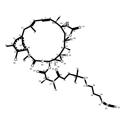 C/C1=C\C=C\[C@@H](C)[C@@]2(O)C[C@H](OC(=O)N2)[C@@H](C)[C@@H]2O[C@@]2(C)[C@@H](OC(=O)[C@H](C)N(C)C(=O)CCC(C)(C)SSCCCN=[N+]=[N-])CC(=O)N(C)c2cc(cc(C)c2Cl)C1